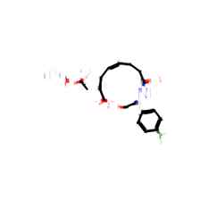 CC(C)(C)OC(=O)C[C@@H]1CC=CCCC(=O)N[C@H](c2ccc(F)cc2)COC1=O